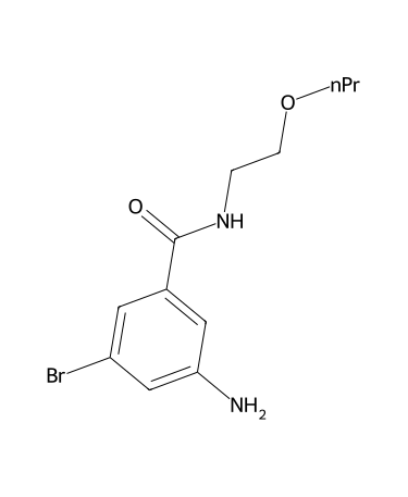 CCCOCCNC(=O)c1cc(N)cc(Br)c1